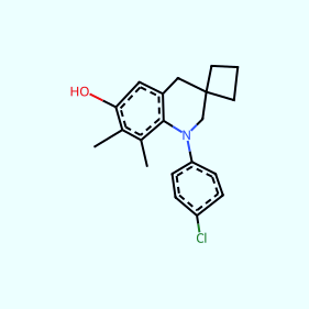 Cc1c(O)cc2c(c1C)N(c1ccc(Cl)cc1)CC1(CCC1)C2